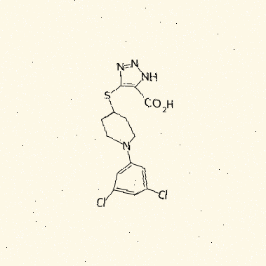 O=C(O)c1[nH]nnc1SC1CCN(c2cc(Cl)cc(Cl)c2)CC1